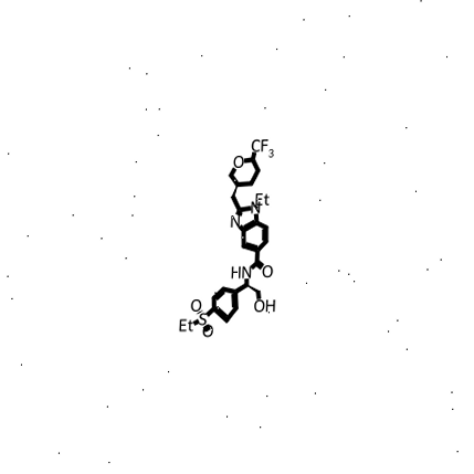 CCn1c(C[C@@H]2CCC(C(F)(F)F)OC2)nc2cc(C(=O)N[C@@H](CO)c3ccc(S(=O)(=O)CC)cc3)ccc21